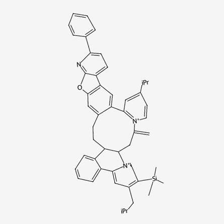 C=C1CC2C(CCc3cc4oc5nc(-c6ccccc6)ccc5c4cc3-c3cc(C(C)C)cc[n+]31)c1ccccc1-c1cc(CC(C)C)c([Si](C)(C)C)c[n+]12